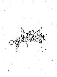 CCCCOC[C@H]1O[C@@H](O)C(O[C@@H]2O[C@H](C)[C@H](O[C@@H]3OC[C@@H](OCCCC)C(O[C@@H]4OC[C@]5(COCCCC)O[C@@H](c6ccccc6)OC45)C3OCCCC)C3OC(C)(C)OC32)C(OCCCC)[C@H]1N=[N+]=[N-]